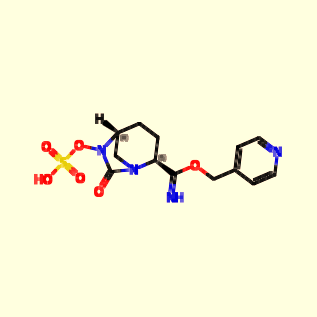 N=C(OCc1ccncc1)[C@@H]1CC[C@@H]2CN1C(=O)N2OS(=O)(=O)O